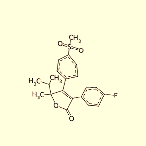 CC(C)C1(C)OC(=O)C(c2ccc(F)cc2)=C1c1ccc(S(C)(=O)=O)cc1